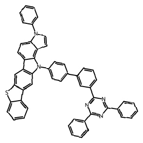 c1ccc(-c2nc(-c3ccccc3)nc(-c3cccc(-c4ccc(-n5c6cc7c(cc6c6ccc8c(ccn8-c8ccccc8)c65)sc5ccccc57)cc4)c3)n2)cc1